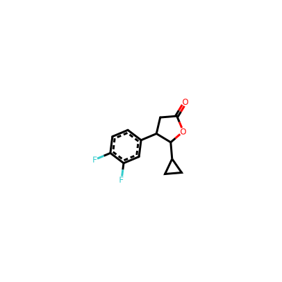 O=C1CC(c2ccc(F)c(F)c2)C(C2CC2)O1